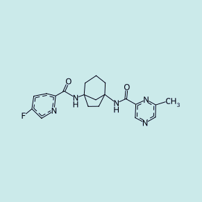 Cc1cncc(C(=O)NC23CCCC(NC(=O)c4ccc(F)cn4)(CC2)C3)n1